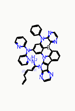 C=C/C=C\C=C(/N)n1c2nccnc2c2c3cccc4c3n(c21)-c1cc(N(c2ccccn2)c2ccccn2)cc2c1B4c1nccnc1N2c1ccccc1